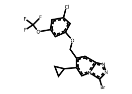 FC(F)(F)Oc1cc(Cl)cc(OCc2cc3nnc(Br)n3cc2C2CC2)c1